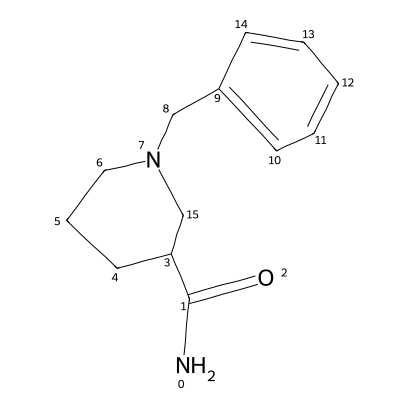 NC(=O)C1CCCN(Cc2ccccc2)C1